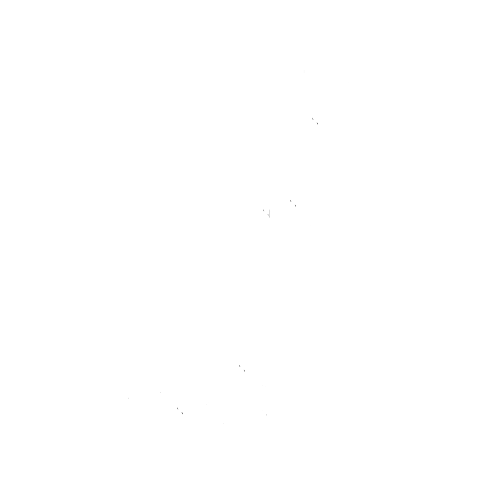 O=C1CCC(N2C(=O)c3cccc4c(Cc5cnn(C6CCN(C7CCCC78CCC8)CC6)c5)ccc2c34)C(=O)N1